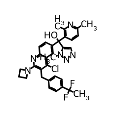 Cc1ccc(C(O)(c2ccc3nc(N4CCC4)c(Cc4ccc(C(C)(F)F)cc4)c(Cl)c3c2)c2cnnn2C)c(C)n1